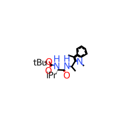 Cc1c(C(C)NC(=O)[C@@H](NC(=O)OC(C)(C)C)C(C)C)n(C)c2ccccc12